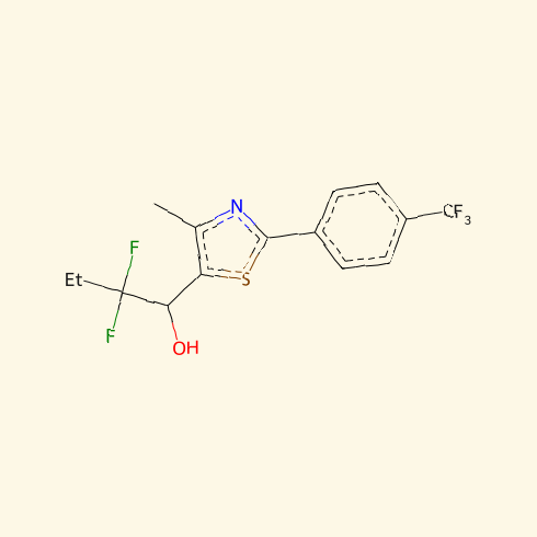 CCC(F)(F)C(O)c1sc(-c2ccc(C(F)(F)F)cc2)nc1C